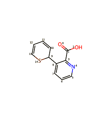 O=C(O)c1ncccc1C1C=CC=CS1